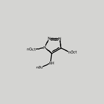 CCCCCCCCc1nnn(CCCCCCCC)c1NCCCC